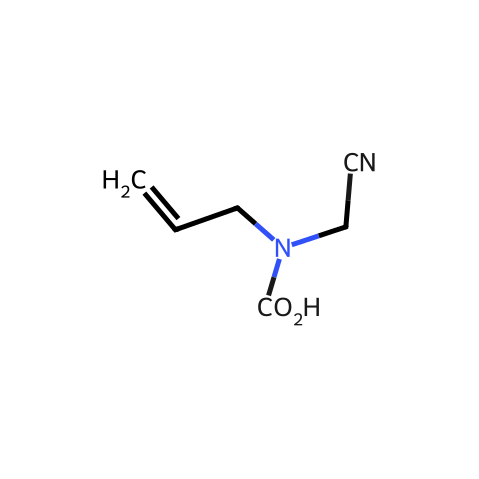 C=CCN(CC#N)C(=O)O